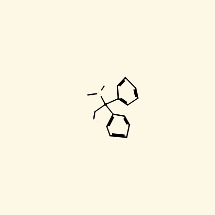 COCC(c1ccccc1)(c1ccccc1)N(C)C